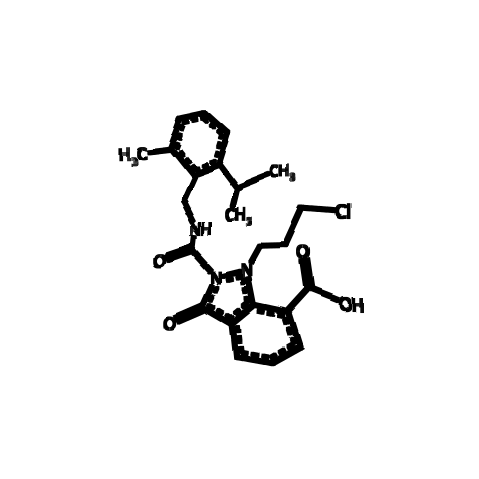 Cc1cccc(C(C)C)c1CNC(=O)n1c(=O)c2cccc(C(=O)O)c2n1CCCCl